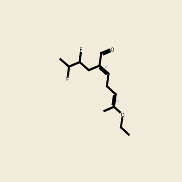 CCO/C(C)=C/C/C=C(/C=O)CC(F)C(C)F